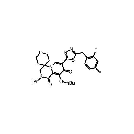 CCCCOc1c2n(cc(-c3nnc(Cc4ccc(F)cc4F)s3)c1=O)C1(CCOCC1)CN(C(C)C)C2=O